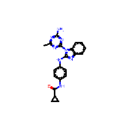 Cc1nc(N)nc(-n2c(Nc3ccc(NC(=O)C4CC4)cc3)nc3ccccc32)n1